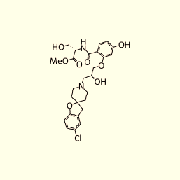 COC(=O)[C@H](CO)NC(=O)c1ccc(O)cc1OC[C@@H](O)CN1CCC2(CC1)Cc1cc(Cl)ccc1O2